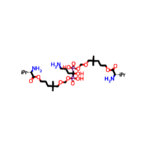 CC(C)[C@H](N)C(=O)OCCCC(C)(C)COCOP(=O)(O)C(O)(CCCN)P(=O)(O)OCOCC(C)(C)CCCOC(=O)[C@@H](N)C(C)C